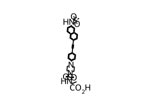 C[C@@H](NS(=O)(=O)N1CCN(c2ccc(C#Cc3ccc4cc(NS(C)(=O)=O)ccc4c3)cc2)CC1)C(=O)O